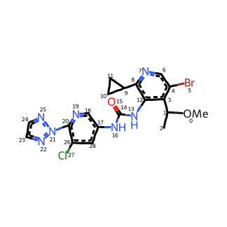 COC(C)c1c(Br)cnc(C2CC2)c1NC(=O)Nc1cnc(-n2nccn2)c(Cl)c1